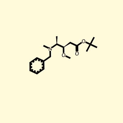 CO[C@H](CC(=O)OC(C)(C)C)[C@H](C)N(C)Cc1ccccc1